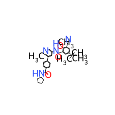 COc1c(C#N)cc(C(C)(C)C)cc1C(=O)Nc1cnc(C)c(-c2ccc(C(=O)NC3CCCC3)cc2)c1